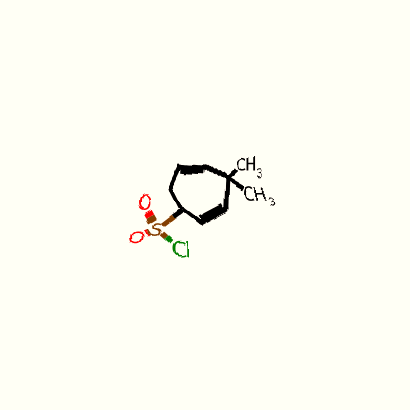 CC1(C)C=CCC(S(=O)(=O)Cl)C=C1